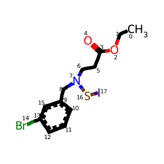 CCOC(=O)CCN(Cc1cccc(Br)c1)SI